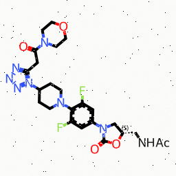 CC(=O)NC[C@H]1CN(c2cc(F)c(N3CCC(n4nnnc4CC(=O)N4CCOCC4)CC3)c(F)c2)C(=O)O1